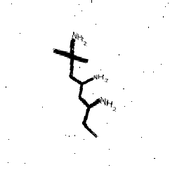 CCC(N)CC(N)CC(C)(C)N